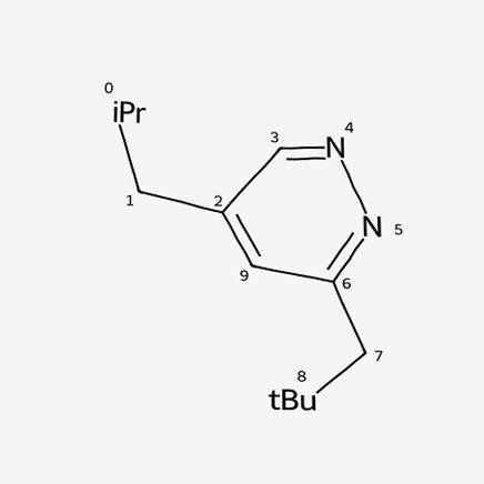 CC(C)Cc1cnnc(CC(C)(C)C)c1